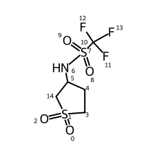 O=S1(=O)CCC(NS(=O)(=O)C(F)(F)F)C1